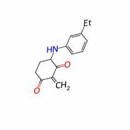 C=C1C(=O)CCC(Nc2cccc(CC)c2)C1=O